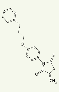 C=C1SC(=S)N(c2ccc(OCCCc3ccccc3)cc2)C1=O